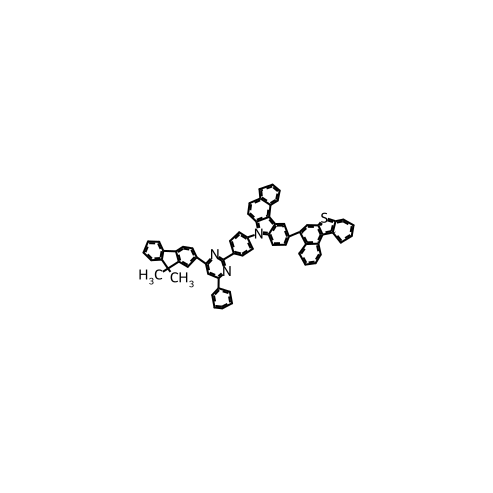 CC1(C)c2ccccc2-c2ccc(-c3cc(-c4ccccc4)nc(-c4ccc(-n5c6ccc(-c7cc8sc9ccccc9c8c8ccccc78)cc6c6c7ccccc7ccc65)cc4)n3)cc21